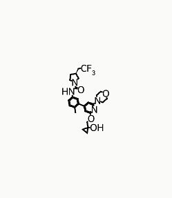 Cc1ccc(NC(=O)N2CC[C@@H](CC(F)(F)F)C2)cc1-c1cc(OCC2(O)CC2)nc(N2CCOCC2)c1